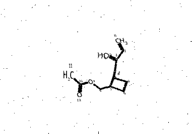 C=CC(O)C1CCC1COC(C)=O